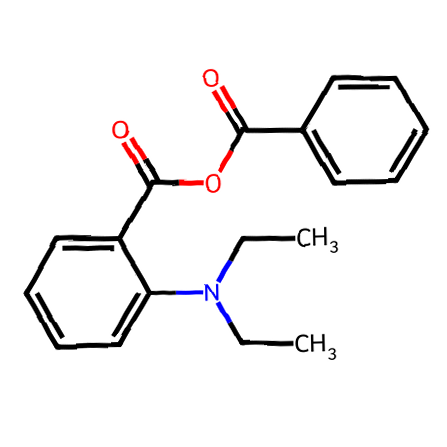 CCN(CC)c1ccccc1C(=O)OC(=O)c1ccccc1